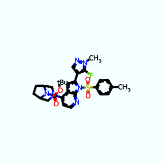 Cc1ccc(S(=O)(=O)n2c(-c3cnn(C)c3F)cc3c(N4CC5CCC(C4)N5C(=O)OC(C)(C)C)ccnc32)cc1